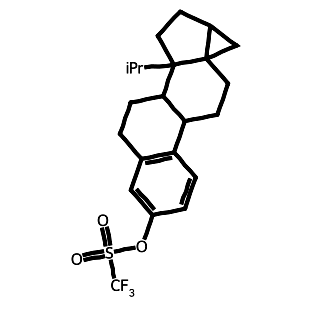 CC(C)C12CCC3CC31CCC1c3ccc(OS(=O)(=O)C(F)(F)F)cc3CCC12